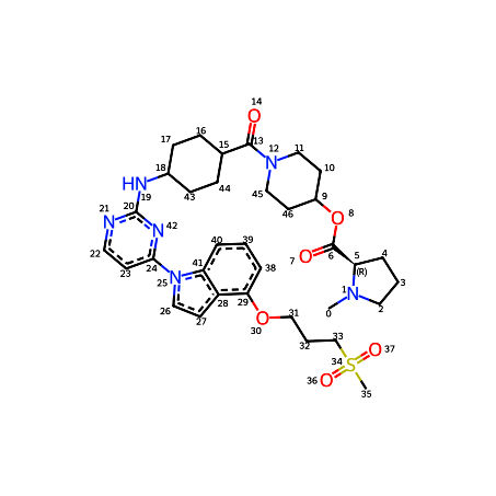 CN1CCC[C@@H]1C(=O)OC1CCN(C(=O)C2CCC(Nc3nccc(-n4ccc5c(OCCCS(C)(=O)=O)cccc54)n3)CC2)CC1